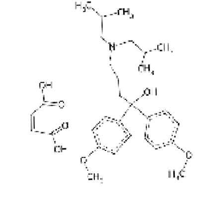 COc1ccc(C(O)(CCCN(CC(C)C)CC(C)C)c2ccc(OC)cc2)cc1.O=C(O)/C=C\C(=O)O